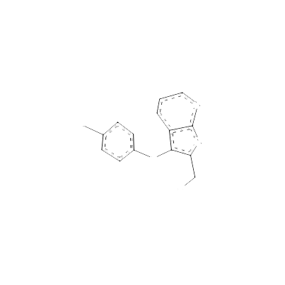 OCc1[nH]c2ncccc2c1Sc1ccc(Cl)cc1